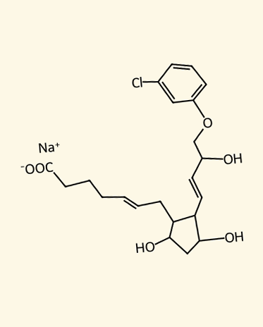 O=C([O-])CCCC=CCC1C(O)CC(O)C1C=CC(O)COc1cccc(Cl)c1.[Na+]